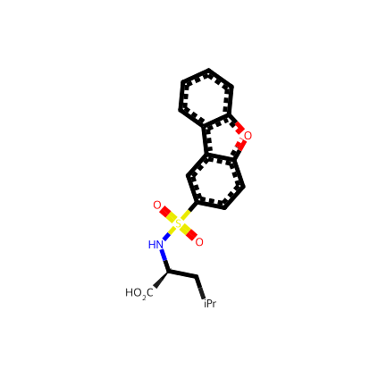 CC(C)C[C@H](NS(=O)(=O)c1ccc2oc3ccccc3c2c1)C(=O)O